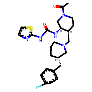 CC(=O)N1CC[C@@H](CN2CCC[C@@H](Cc3ccc(F)cc3)C2)[C@@H](NC(=O)Nc2nccs2)C1